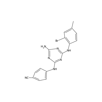 Cc1ccc(Nc2nc(N)nc(Nc3ccc(C#N)cc3)n2)c(Br)c1